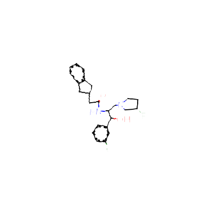 O=C(CC1Cc2ccccc2C1)NC(CN1CC[C@@H](F)C1)C(O)c1cccc(Cl)c1